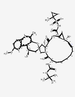 COc1ccc2nc(C)c3c(c2n1)[C@H](F)C[C@]1(C[C@H]2C(=O)N[C@]4(C(=O)NS(=O)(=O)C5(C)CC5)C[C@H]4/C=C\CCCCC[C@H](NC(=O)OC(C)(C)C)C(=O)N2C1)O3